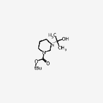 CC(C)(C)OC(=O)N1CCC[C@H](C(C)(C)O)C1